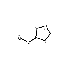 ClON1CCNC1